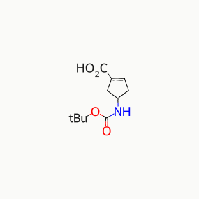 CC(C)(C)OC(=O)NC1CC=C(C(=O)O)C1